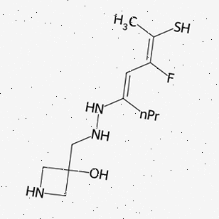 CCC/C(=C\C(F)=C(/C)S)NNCC1(O)CNC1